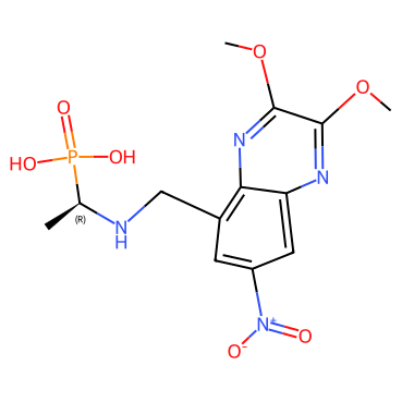 COc1nc2cc([N+](=O)[O-])cc(CN[C@@H](C)P(=O)(O)O)c2nc1OC